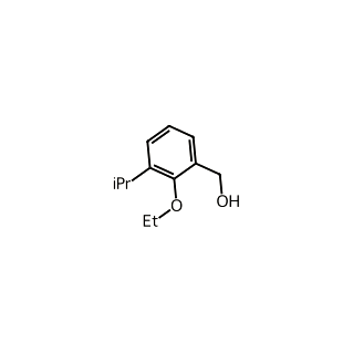 [CH2]C(C)c1cccc(CO)c1OCC